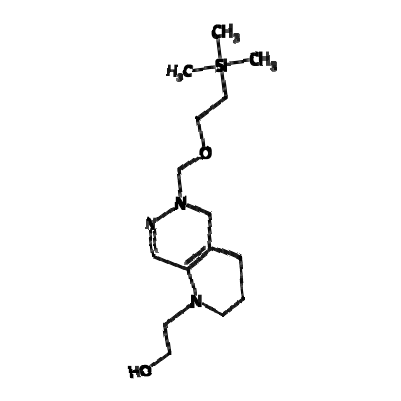 C[Si](C)(C)CCOCN1CC2=C(C=N1)N(CCO)CCC2